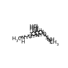 CCNCCCOc1ccc2cc3ccc(OCCCNCC)cc3nc2c1.Cl.Cl.Cl